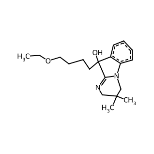 CCOCCCCC1(O)C2=NCC(C)(C)CN2c2ccccc21